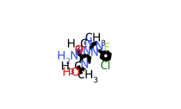 CN(C)c1cnc(-c2cc(Cl)ccc2F)nc1NC1=C(C(N)=O)CN(CC(C)(C)O)C=C1